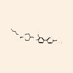 CCCCOC(=O)N1CCC(COc2ccc(-c3ccc(C(=O)O)nc3)cc2COC)CC1